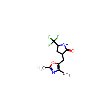 Cc1nc(C)c(CC2CC(C(F)(F)F)NC2=O)o1